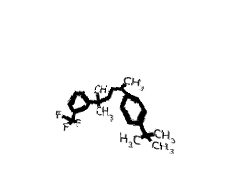 CC(CCC(C)(C)c1cccc(C(F)(F)F)c1)c1ccc(C(C)(C)C)cc1